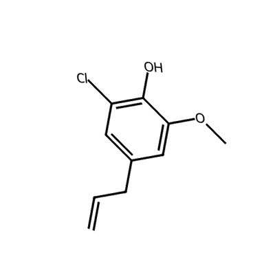 C=CCc1cc(Cl)c(O)c(OC)c1